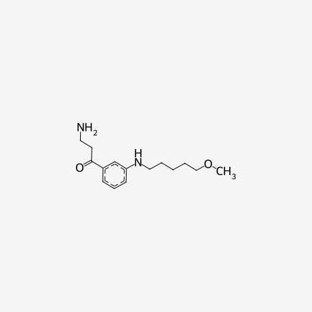 COCCCCCNc1cccc(C(=O)CCN)c1